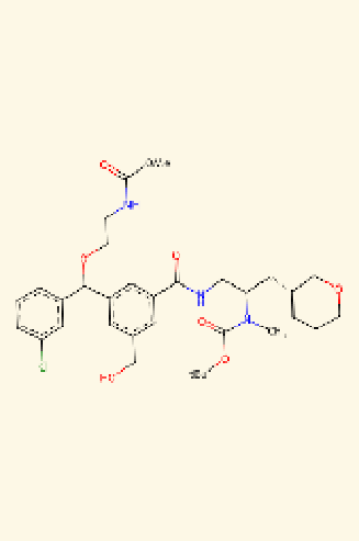 COC(=O)NCCOC(c1cccc(Cl)c1)c1cc(CO)cc(C(=O)NCC(C[C@H]2CCCOC2)N(C)C(=O)OC(C)(C)C)c1